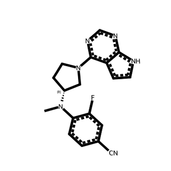 CN(c1ccc(C#N)cc1F)[C@@H]1CCN(c2ncnc3[nH]ccc23)C1